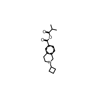 CC(C)C(=O)OC(=O)c1ccc2c(c1)CCN(C1CCC1)C2